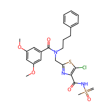 C=S(C)(=O)NC(=O)c1nc(CN(CCCc2ccccc2)C(=O)c2cc(OC)cc(OC)c2)sc1Cl